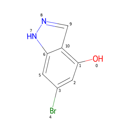 Oc1cc(Br)cc2[nH]ncc12